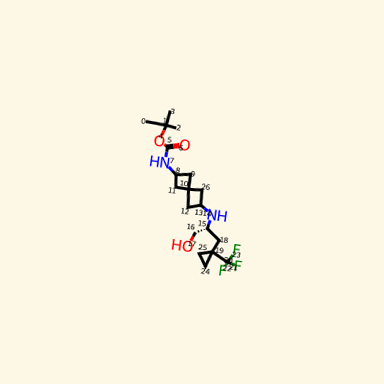 CC(C)(C)OC(=O)NC1CC2(C1)CC(N[C@@H](CO)CC1(C(F)(F)F)CC1)C2